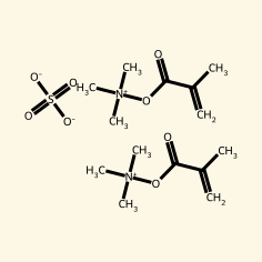 C=C(C)C(=O)O[N+](C)(C)C.C=C(C)C(=O)O[N+](C)(C)C.O=S(=O)([O-])[O-]